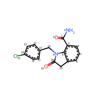 NC(=O)c1cccc2c1N(Cc1ccc(Cl)cc1)C(=O)C2